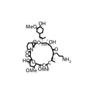 CO[C@H]1C[C@@H](C)[C@@]2(O)OC1[C@H](OC)C[C@H](C)C/C(C)=C\[C@H](CCCN)C(=O)C[C@H](O)[C@@H](C)[C@@H](/C(C)=C/C1CC[C@@H](O)[C@H](OC)C1)OC(=O)[C@H]1CCCCN1C(=O)C2=O